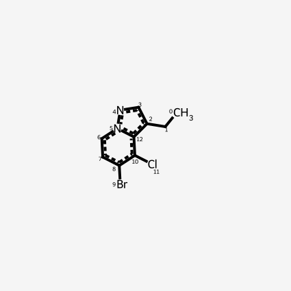 CCc1cnn2ccc(Br)c(Cl)c12